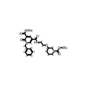 CNC(=O)c1cc(C(=O)NCCOC2CCCN(C(=O)OC(C)(C)C)C2)cn(Cc2ccccc2)c1=O